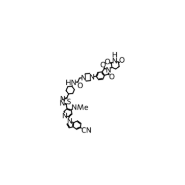 CNc1cc(-n2ccc3cc(C#N)ccc32)ncc1-c1nnc(C2CCC(NC(=O)CN3CCN(c4ccc5c(c4)C(=O)N(C4CCC(=O)NC4=O)C5=O)CC3)CC2)s1